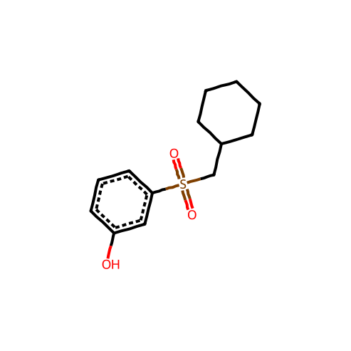 O=S(=O)(CC1CCCCC1)c1cccc(O)c1